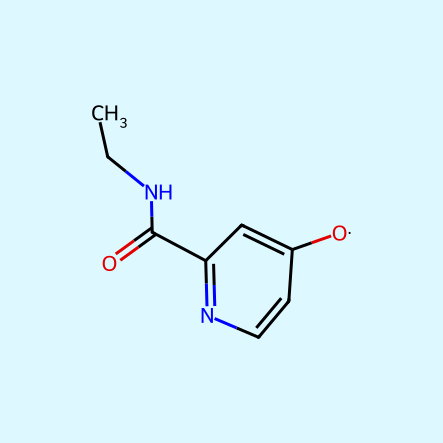 CCNC(=O)c1cc([O])ccn1